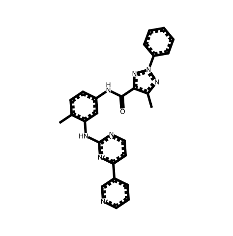 Cc1ccc(NC(=O)c2nn(-c3ccccc3)nc2C)cc1Nc1nccc(-c2cccnc2)n1